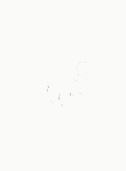 N#C[C@@H](NC(=O)[C@@H]1CCCCC1NC(=O)c1cc2cc(F)ccc2[nH]1)C1CC1